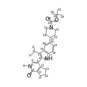 CC(C)c1c(-c2cn(C)c(=O)c3c2CCC3)[nH]c2ccc(C3CCN(C(=O)OC(C)(C)C)CC3)cc12